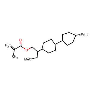 C=C(C)C(=O)OCC(COC)C1CCC(C2CCC(CCCCC)CC2)CC1